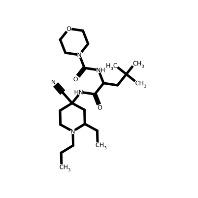 CCCN1CCC(C#N)(NC(=O)C(CC(C)(C)C)NC(=O)N2CCOCC2)CC1CC